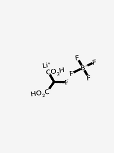 F[B-](F)(F)F.O=C(O)C(F)C(=O)O.[Li+]